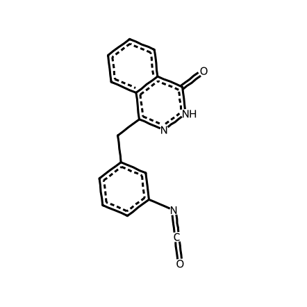 O=C=Nc1cccc(Cc2n[nH]c(=O)c3ccccc23)c1